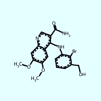 COc1cc2ncc(C(N)=O)c(Nc3cccc(CO)c3Br)c2cc1OC